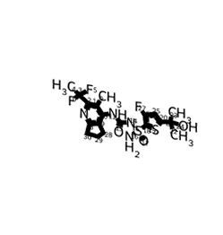 Cc1c(C(C)(F)F)nc2c(c1NC(=O)N=S(N)(=O)c1sc(C(C)(C)O)cc1F)CCC2